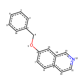 c1ccc(COc2ccc3ccncc3c2)cc1